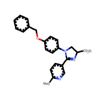 CCOC(=O)C1CN(c2ccc(OCc3ccccc3)cc2)C(c2ccc(OC)nc2)=N1